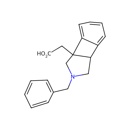 O=C(O)CC12CN(Cc3ccccc3)CC1c1ccccc12